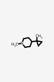 CN1CCC(C2(C)CC2)CC1